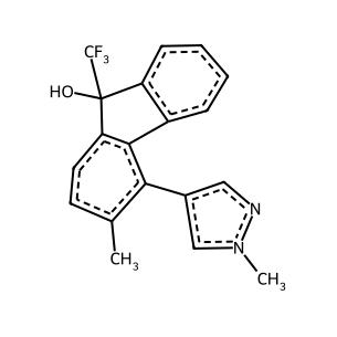 Cc1ccc2c(c1-c1cnn(C)c1)-c1ccccc1C2(O)C(F)(F)F